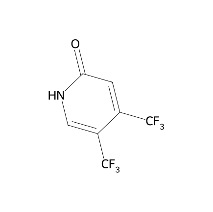 O=c1cc(C(F)(F)F)c(C(F)(F)F)c[nH]1